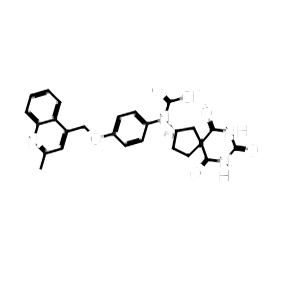 Cc1cc(COc2ccc(N(C(=O)C(F)(F)F)[C@@H]3CCC4(C3)C(=O)NC(=O)NC4=O)cc2)c2ccccc2n1